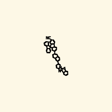 N#Cc1ccc2c(c1)C1(c3ccccc3-c3ccccc31)c1cc(-c3ccc4cc(-c5ccc6nc7c8ccccc8sc7n6c5)ccc4c3)ccc1-2